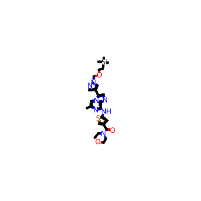 Cc1cn2c(-c3cnn(COCC[Si](C)(C)C)c3)cnc2c(Nc2cc(C(=O)N3CCOCC3)cs2)n1